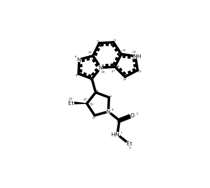 CCNC(=O)N1CC(c2cnc3ccc4[nH]ccc4n23)[C@H](CC)C1